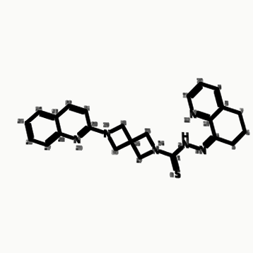 S=C(N/N=C1/CCCc2cccnc21)N1CC2(C1)CN(c1ccc3ccccc3n1)C2